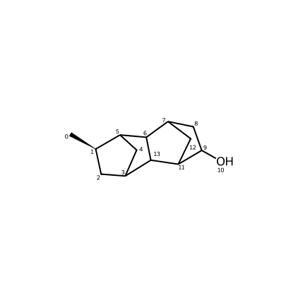 C[C@@H]1CC2CC1C1C3CC(O)C(C3)C21